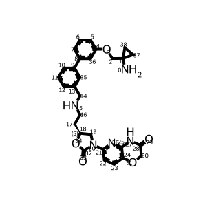 NC1(COc2cccc(-c3cccc(CNCC[C@H]4CN(c5ccc6c(n5)NC(=O)CO6)C(=O)O4)c3)c2)CC1